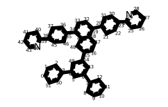 c1ccc(-c2cc(-c3ccccc3)cc(-c3ccc4c(-c5ccc(-c6ccccn6)cc5)ccc(-c5ccc(-c6ccccn6)cc5)c4c3)c2)cc1